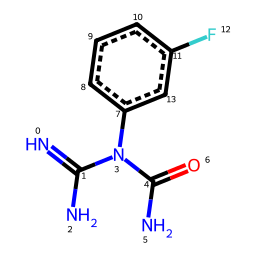 N=C(N)N(C(N)=O)c1cccc(F)c1